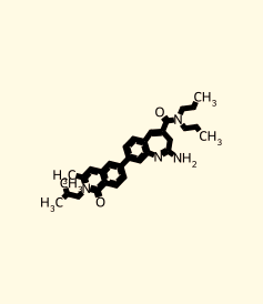 CCCN(CCC)C(=O)C1=Cc2ccc(-c3ccc4c(=O)n(CC(C)C)c(C)cc4c3)cc2N=C(N)C1